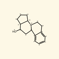 OC1CC2c3ccccc3CCN2C2CCCC12